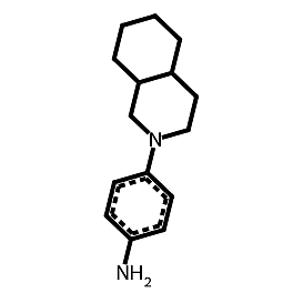 Nc1ccc(N2CCC3CCCCC3C2)cc1